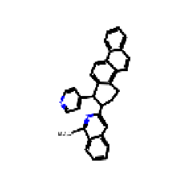 CCOC(=O)c1nc(C2CCc3c(ccc4c3ccc3ccccc34)C2c2ccncc2)cc2ccccc12